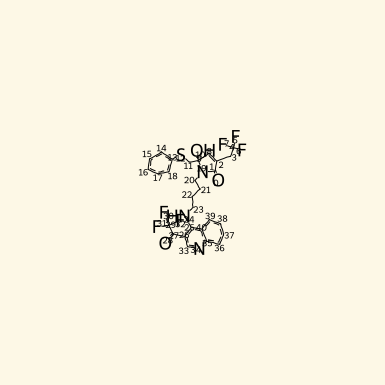 O=C1C(CC(F)(F)F)=CC(O)(CSc2ccccc2)N1CCCCNc1c(C(=O)C(F)(F)F)cnc2ccccc12